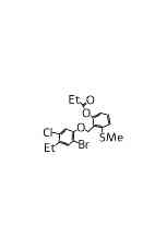 CCC(=O)Oc1cccc(SC)c1COc1cc(Cl)c(CC)cc1Br